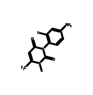 Cn1c(C(F)(F)F)cc(=O)n(-c2ccc(N)cc2F)c1=O